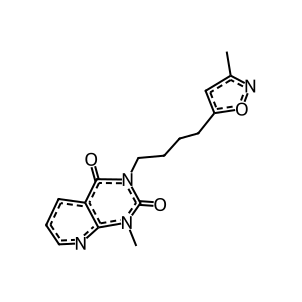 Cc1cc(CCCCn2c(=O)c3cccnc3n(C)c2=O)on1